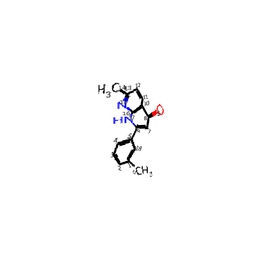 Cc1cccc(-c2cc(=O)c3ccc(C)nc3[nH]2)c1